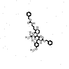 COc1ccc(CC(NC(=O)OCc2ccccc2)C(=O)C(C(=O)OC(C)(C)C)N2CCNC(CCCNC(=O)OCc3ccccc3)C2=O)cc1